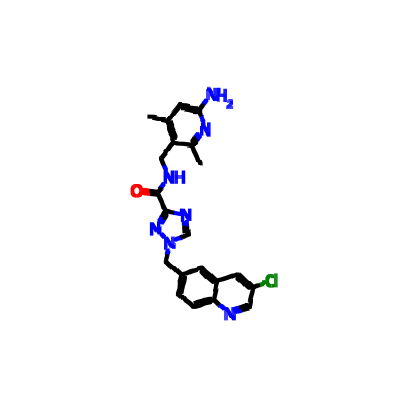 Cc1cc(N)nc(C)c1CNC(=O)c1ncn(Cc2ccc3ncc(Cl)cc3c2)n1